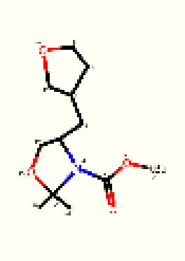 CC(C)(C)OC(=O)N1C(CC2CCOC2)COC1(C)C